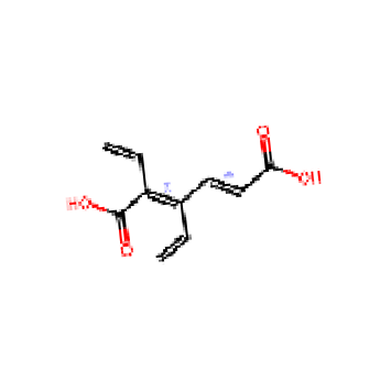 C=CC(/C=C/C(=O)O)=C(/C=C)C(=O)O